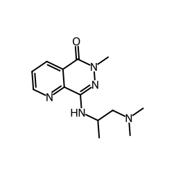 CC(CN(C)C)Nc1nn(C)c(=O)c2cccnc12